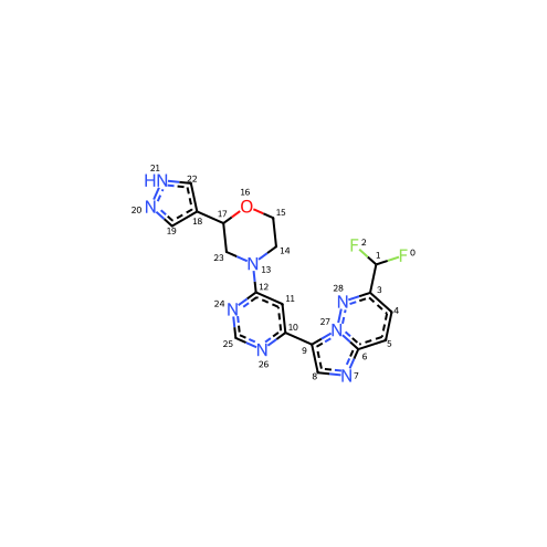 FC(F)c1ccc2ncc(-c3cc(N4CCOC(c5cn[nH]c5)C4)ncn3)n2n1